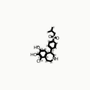 CC(C)CS(=O)(=O)c1ccc(C2CNCCc3c2cc(O)c(O)c3Cl)cc1